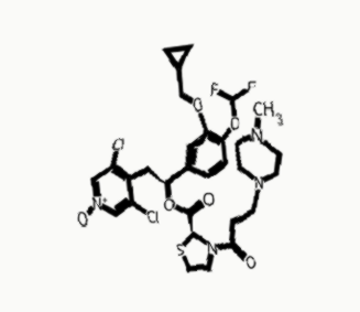 CN1CCN(CCC(=O)N2CCS[C@H]2C(=O)O[C@@H](Cc2c(Cl)c[n+]([O-])cc2Cl)c2ccc(OC(F)F)c(OCC3CC3)c2)CC1